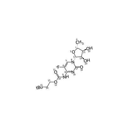 C[C@H]1O[C@@H](n2cc(F)c(NC(=O)OCCC(C)(C)C)nc2=O)[C@H](O)[C@@H]1O